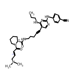 CCCNc1nc(Nc2ccc(C#N)cc2)ncc1C#CCCCNC(=O)[C@@H]1CCCCN1C(=O)/C=C/CN(C)C